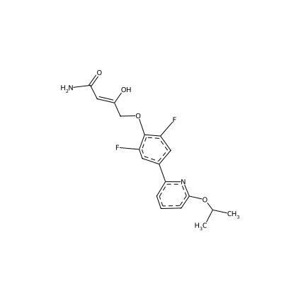 CC(C)Oc1cccc(-c2cc(F)c(OC/C(O)=C/C(N)=O)c(F)c2)n1